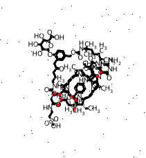 CC[C@H]1c2cc3[nH]c4c(c3C)C(=O)C(C(=O)OC)c4c3nc(cc4[nH]c(cc(n2)[C@@H]1C)c(C(C)=O)c4C)[C@@H](C)[C@@H]3CCC(=O)NC(C)C(C)CCC(C)(C)NC(=O)OCc1ccc(OC2OC(C(=O)O)[C@H](O)C(O)[C@@H]2O)c(CC(=O)CCCNC(=O)[C@H](CC(=O)NCCS(=O)(=O)O)NC(=O)CC[C@@H](C)NC(=O)c2ccc(NCc3cnc4nc(N)[nH]c(=O)c4n3)cc2)c1